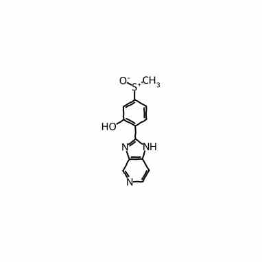 C[S+]([O-])c1ccc(-c2nc3cnccc3[nH]2)c(O)c1